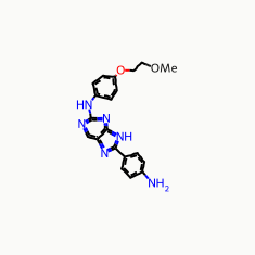 COCCOc1ccc(Nc2ncc3nc(-c4ccc(N)cc4)[nH]c3n2)cc1